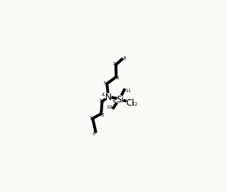 CCCCN(CCCC)[Si](C)(C)Cl